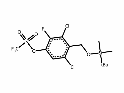 CC(C)(C)[Si](C)(C)OCc1c(Cl)cc(OS(=O)(=O)C(F)(F)F)c(F)c1Cl